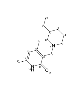 CCC1CCCN(Cc2c(C)cc(C)[nH]c2=O)C1